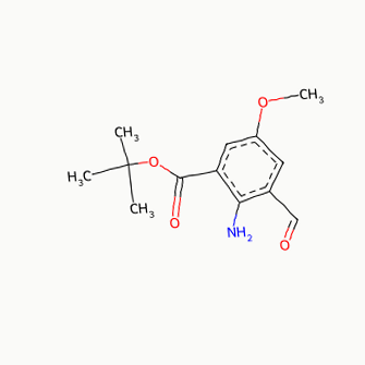 COc1cc(C=O)c(N)c(C(=O)OC(C)(C)C)c1